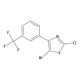 FC(F)(F)c1cccc(-c2nc(Cl)sc2Br)c1